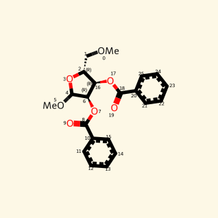 COC[C@H]1OC(OC)[C@H](OC(=O)c2ccccc2)[C@@H]1OC(=O)c1ccccc1